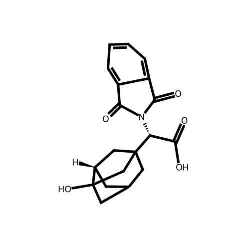 O=C(O)[C@@H](N1C(=O)c2ccccc2C1=O)C12CC3C[C@@H](C1)C(O)(C3)C2